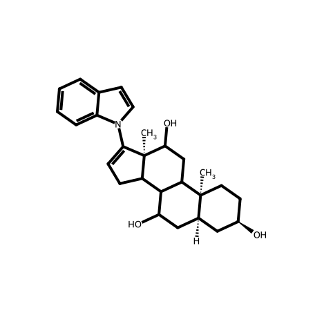 C[C@@]12C(n3ccc4ccccc43)=CCC1C1C(O)C[C@@H]3C[C@H](O)CC[C@]3(C)C1CC2O